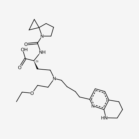 CCOCCN(CCCCc1ccc2c(n1)NCCC2)CC[C@H](NC(=O)N1CCCC12CC2)C(=O)O